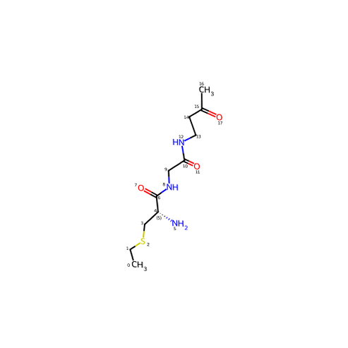 CCSC[C@@H](N)C(=O)NCC(=O)NCCC(C)=O